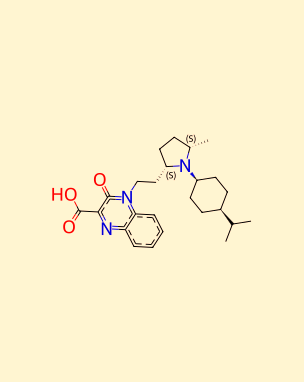 CC(C)[C@H]1CC[C@@H](N2[C@H](CCn3c(=O)c(C(=O)O)nc4ccccc43)CC[C@@H]2C)CC1